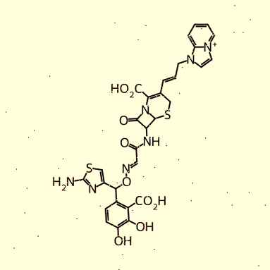 Nc1nc(C(ON=CC(=O)NC2C(=O)N3C(C(=O)O)=C(/C=C/Cn4cc[n+]5ccccc45)CSC23)c2ccc(O)c(O)c2C(=O)O)cs1